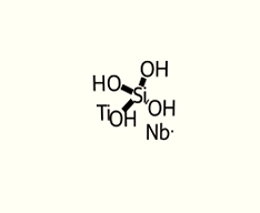 O[Si](O)(O)O.[Nb].[Ti]